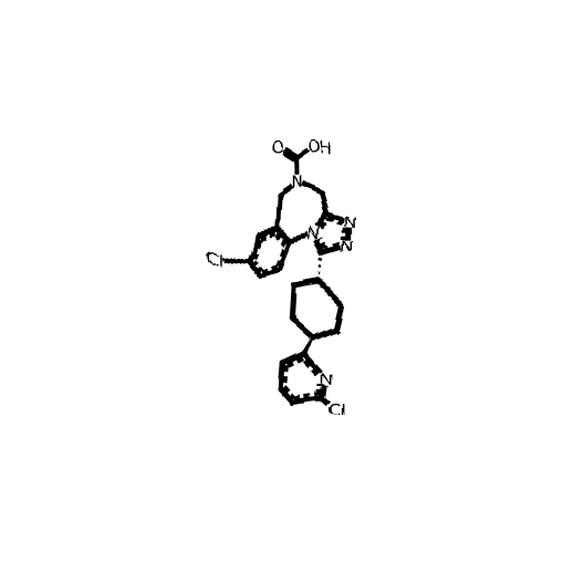 O=C(O)N1Cc2cc(Cl)ccc2-n2c(nnc2[C@H]2CC[C@H](c3cccc(Cl)n3)CC2)C1